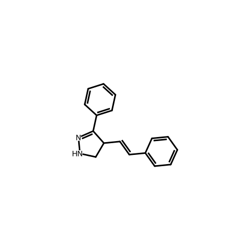 C(=CC1CNN=C1c1ccccc1)c1ccccc1